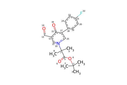 CC(C)(C)OC(=O)C(C)(C)n1cc(C=O)c(=O)c(-c2ccc(F)cc2)c1